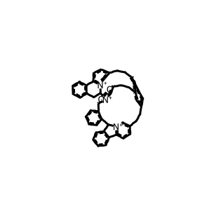 c1ccc2c(c1)CC1[n+]3cc(ccc3-2)CCc2cc3cc(c2)CCc2ccc([n+]1c2)-c1ccccc1C1c2ccccc2-c2ccc(c[n+]21)CC3